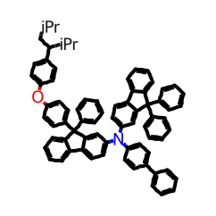 CC(C)CC(c1ccc(Oc2ccc(C3(c4ccccc4)c4ccccc4-c4ccc(N(c5ccc(-c6ccccc6)cc5)c5ccc6c(c5)C(c5ccccc5)(c5ccccc5)c5ccccc5-6)cc43)cc2)cc1)C(C)C